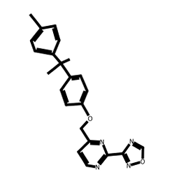 Cc1ccc(C(C)(C)c2ccc(OCc3ccnc(-c4ncon4)n3)cc2)cc1